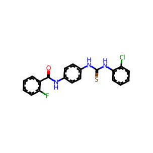 O=C(Nc1ccc(NC(=S)Nc2ccccc2Cl)cc1)c1ccccc1F